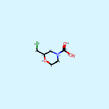 O=C(O)N1CCOC(CBr)C1